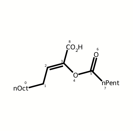 CCCCCCCCC/C=C(\OC(=O)CCCCC)C(=O)O